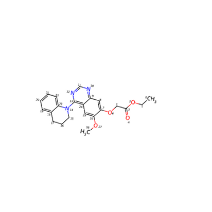 CCOC(=O)COc1cc2ncnc(N3CCCc4ccccc43)c2cc1OC